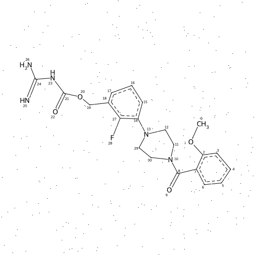 COc1ccccc1C(=O)N1CCN(c2cccc(COC(=O)NC(=N)N)c2F)CC1